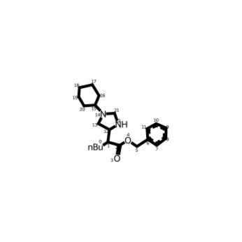 CCCCC(C(=O)OCc1ccccc1)C1CN(C2CCCCC2)CN1